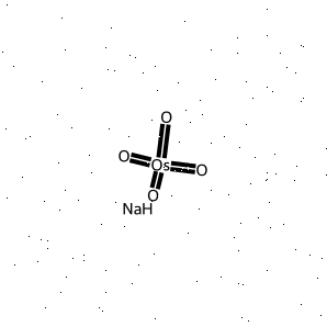 [NaH].[O]=[Os](=[O])(=[O])=[O]